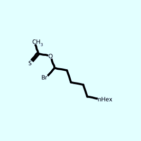 CCCCCCCCCCC(Br)OC(C)=S